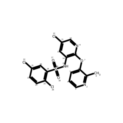 Cc1ncccc1Oc1ncc(Cl)cc1NS(=O)(=O)c1cc(Cl)ccc1Cl